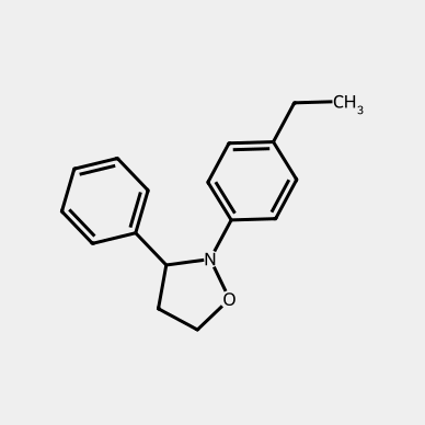 CCc1ccc(N2OCCC2c2ccccc2)cc1